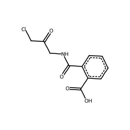 O=C(CCl)CNC(=O)c1ccccc1C(=O)O